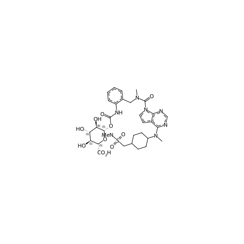 CNS(=O)(=O)CC1CCC(N(C)c2ncnc3c2ccn3C(=O)N(C)Cc2ccccc2NC(=O)O[C@@H]2O[C@H](C(=O)O)[C@@H](O)[C@H](O)[C@H]2O)CC1